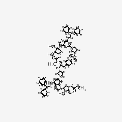 CCC(=O)C[C@H]1C[C@@H](n2cnc3c(CCC(c4ccccc4)c4ccccc4)nc(N4CC[C@@H](CS(=O)(=O)c5ccc(CC(=O)C[C@@H]6CCN(c7nc(NCC(c8ccccc8)c8ccccc8)c8ncn([C@@H]9C[C@H](CC(=O)CC)[C@@H](O)[C@H]9O)c8n7)C6)cc5)C4)nc32)[C@H](O)[C@@H]1O